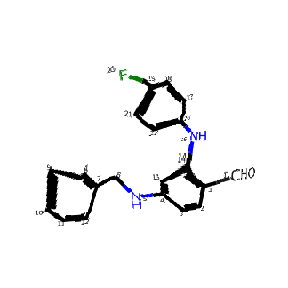 O=Cc1ccc(NCc2ccccc2)cc1Nc1ccc(F)cc1